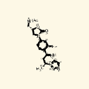 CC(=O)NC[C@H]1CN(c2ccc(C(=N)C[C@H](C)n3ccnn3)c(F)c2)C(=O)O1